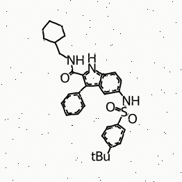 CC(C)(C)c1ccc(S(=O)(=O)Nc2ccc3[nH]c(C(=O)NCC4CCCCC4)c(-c4ccccc4)c3c2)cc1